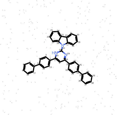 C1=C(c2ccc(-c3ccccc3)cc2)NC(n2c3ccccc3c3ccccc32)N=C1c1ccc(-c2ccccc2)cc1